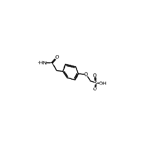 [NH]C(=O)Cc1ccc(OCS(=O)(=O)O)cc1